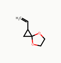 C=CC1CC12OCCO2